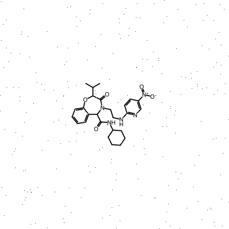 CC(C)C1Oc2ccccc2C(C(=O)NC2CCCCC2)N(CCNc2ccc([N+](=O)[O-])cn2)C1=O